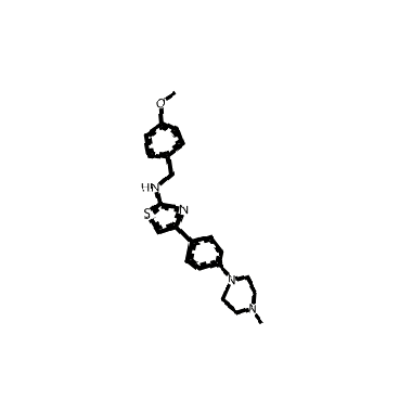 COc1ccc(CNc2nc(-c3ccc(N4CCN(C)CC4)cc3)cs2)cc1